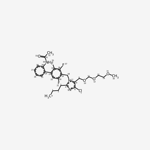 CCCCc1nc(Cl)c(COCOCCOC)n1Cc1c(F)cc(-c2ccccc2NC(C)=O)c(F)c1F